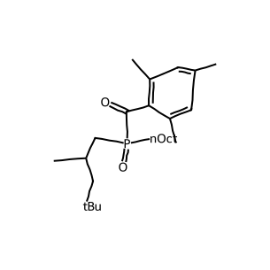 CCCCCCCCP(=O)(CC(C)CC(C)(C)C)C(=O)c1c(C)cc(C)cc1C